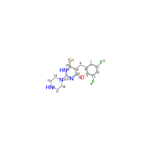 Fc1cc(F)c2c(c1)Cc1c(nc(N3CCNCC3)[nH]c1=S)O2